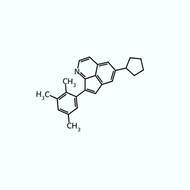 Cc1cc(C)c(C)c(C2=Cc3cc(C4CCCC4)cc4ccnc2c34)c1